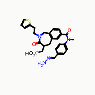 CN(C(=O)c1ccc2c(c1)CC(CC(=O)O)C(=O)N(CCc1cccs1)C2)c1ccc(C=NN)cc1